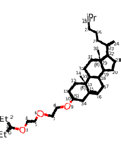 CCC(CC)OCCOCCO[C@H]1CC[C@@]2(C)C(=CCC3C4CCC(C(C)CCCC(C)C)[C@@]4(C)CCC32)C1